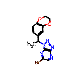 CC(c1ccc2c(c1)OCCO2)n1nnc2ncc(Br)nc21